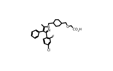 Cc1c(-c2ccccc2)c(-c2ccc(Cl)cc2F)nn1CC1CCC(COCC(=O)O)CC1